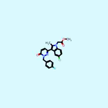 COC(=O)Cn1c(C)c(-c2ccc(=O)n(Cc3ccc(F)cc3)n2)c2cc(Cl)ccc21